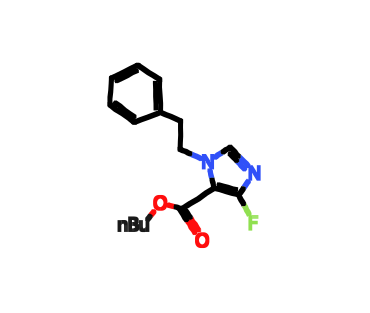 CCCCOC(=O)c1c(F)ncn1CCc1ccccc1